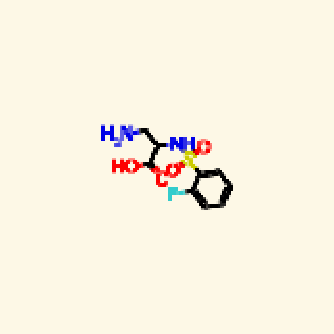 NCC(NS(=O)(=O)c1ccccc1F)C(=O)O